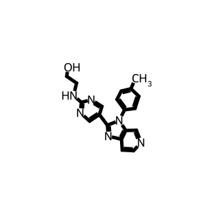 Cc1ccc(-n2c(-c3cnc(NCCO)nc3)nc3ccncc32)cc1